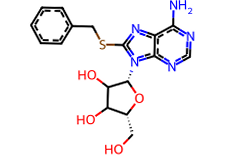 Nc1ncnc2c1nc(SCc1ccccc1)n2[C@@H]1O[C@H](CO)C(O)C1O